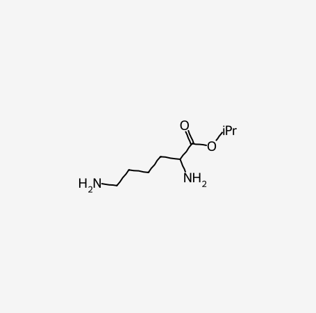 CC(C)OC(=O)C(N)CCCCN